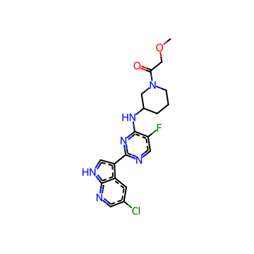 COCC(=O)N1CCCC(Nc2nc(-c3c[nH]c4ncc(Cl)cc34)ncc2F)C1